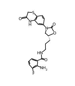 Nc1c(F)cccc1C(=O)NCCC[C@@H]1CN(c2ccc3c(c2)NC(=O)CS3)C(=O)O1